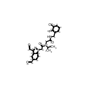 CC(C)N(CC(=O)NCc1cccc(Cl)c1F)C(=O)Cn1nc(C=O)c2cc(C=O)ccc21